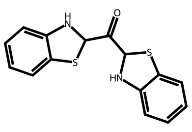 O=C(C1Nc2ccccc2S1)C1Nc2ccccc2S1